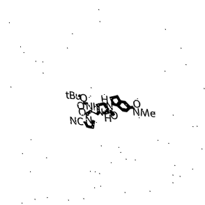 CNC(=O)c1ccc2c(c1)CC[C@@H]2N1C(=O)[C@@H]2C[C@H]1CN2C[C@H](NC(=O)OC(C)(C)C)C(=O)N1CCC[C@H]1C#N